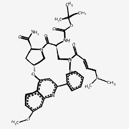 COc1ccc2c(O[C@@H]3C[C@@H](C(N)=O)N(C(=O)[C@H](CN(C)C(=O)/C=C/CN(C)C)NC(=O)OC(C)(C)C)C3)cc(-c3ccccc3)nc2c1